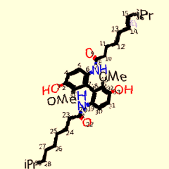 COc1c(O)ccc(NC(=O)CCCC/C=C/C(C)C)c1-c1c(NC(=O)CCCCCCC(C)C)ccc(O)c1OC